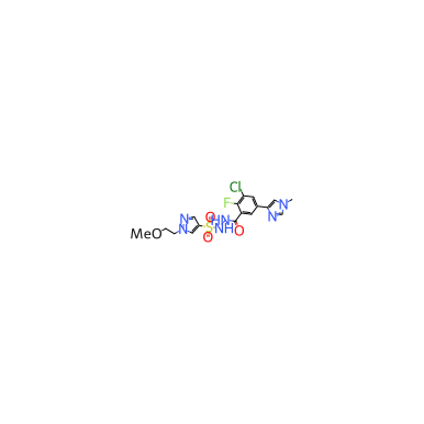 COCCn1cc(S(=O)(=O)NNC(=O)c2cc(-c3cn(C)cn3)cc(Cl)c2F)cn1